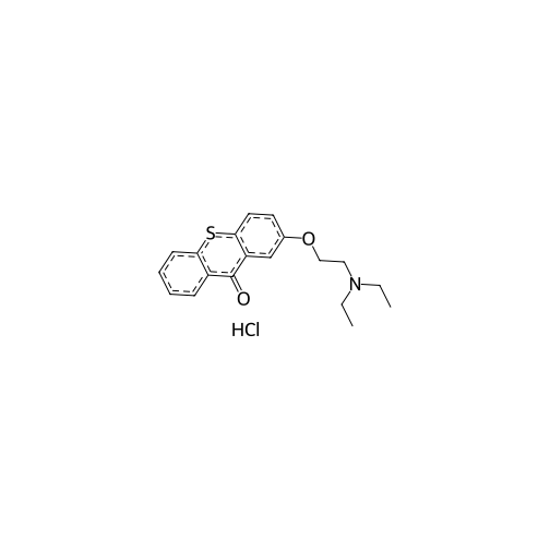 CCN(CC)CCOc1ccc2sc3ccccc3c(=O)c2c1.Cl